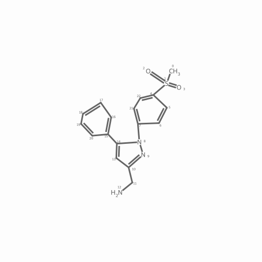 CS(=O)(=O)c1ccc(-n2nc(CN)cc2-c2ccccc2)cc1